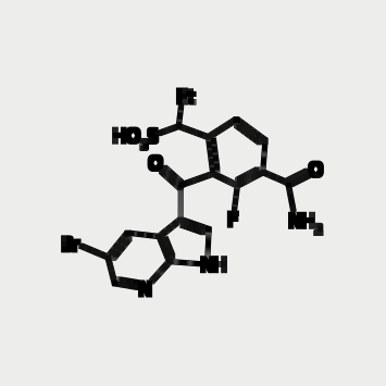 CCC(c1ccc(C(N)=O)c(F)c1C(=O)c1c[nH]c2ncc(Br)cc12)S(=O)(=O)O